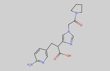 Nc1ccc(CC(C(=O)O)c2cn(CC(=O)N3CCCC3)cn2)cn1